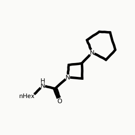 CCCCCCNC(=O)N1CC(N2CCCCC2)C1